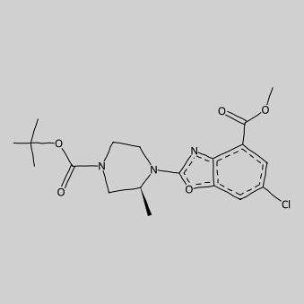 COC(=O)c1cc(Cl)cc2oc(N3CCN(C(=O)OC(C)(C)C)C[C@@H]3C)nc12